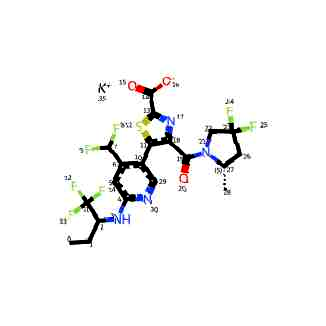 CCC(Nc1cc(C(F)F)c(-c2sc(C(=O)[O-])nc2C(=O)N2CC(F)(F)C[C@@H]2C)cn1)C(F)(F)F.[K+]